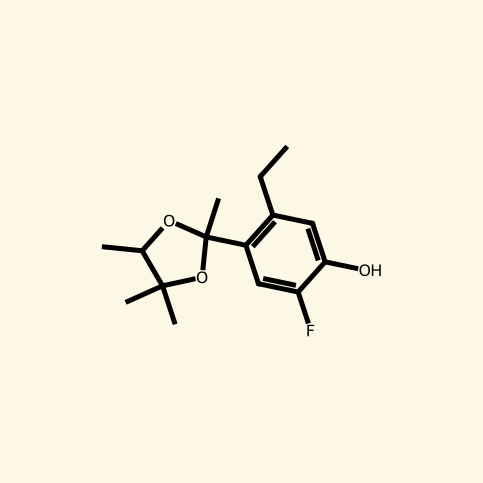 CCc1cc(O)c(F)cc1C1(C)OC(C)C(C)(C)O1